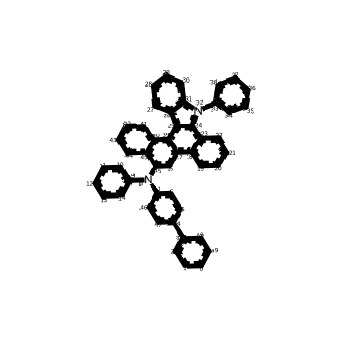 c1ccc(-c2ccc(N(c3ccccc3)c3cc4c5ccccc5c5c(c6ccccc6n5-c5ccccc5)c4c4ccccc34)cc2)cc1